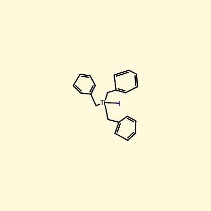 [I][Ti]([CH2]c1ccccc1)([CH2]c1ccccc1)[CH2]c1ccccc1